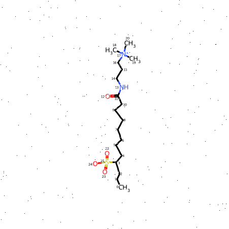 CCCC(CCCCCCCC(=O)NCCC[N+](C)(C)C)S(=O)(=O)[O-]